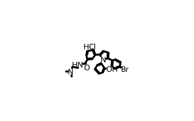 CN(C)CCNC(=O)c1cccc(-c2ccc(-c3ccc(Br)cc3)n2-c2ccccc2O)c1.Cl